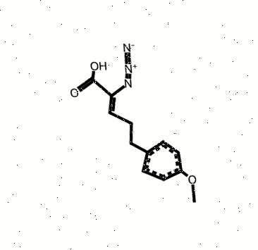 COc1ccc(CCC=C(N=[N+]=[N-])C(=O)O)cc1